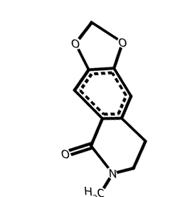 CN1CCc2cc3c(cc2C1=O)OCO3